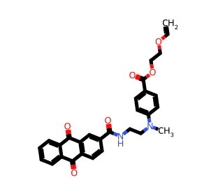 C=COCCOC(=O)c1ccc(N(C)CCNC(=O)c2ccc3c(c2)C(=O)c2ccccc2C3=O)cc1